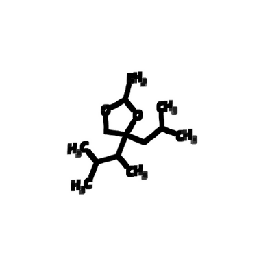 BC1OCC(CC(C)C)(C(C)C(C)C)O1